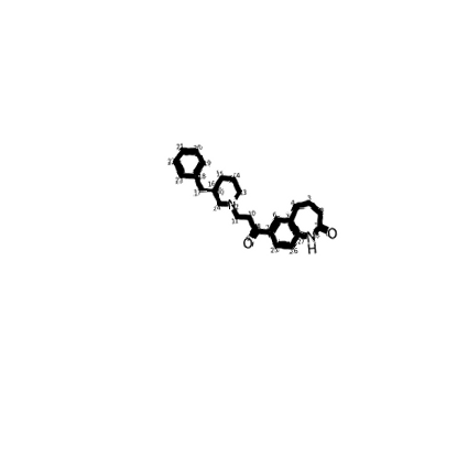 O=C1CCCc2cc(C(=O)CCN3CCC[C@H](Cc4ccccc4)C3)ccc2N1